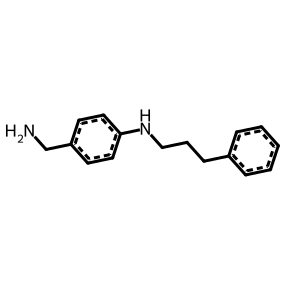 NCc1ccc(NCCCc2ccccc2)cc1